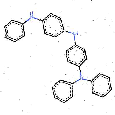 [c]1ccc(Nc2ccc(Nc3ccc(N(c4ccccc4)c4ccccc4)cc3)cc2)cc1